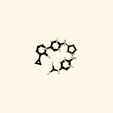 O=c1c(C2CC2)cccn1-c1cnc(N[C@H]2CC[C@H](Nc3ncc(OC(F)F)cn3)C2)nc1